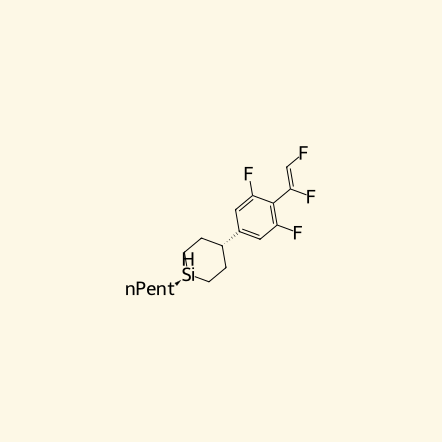 CCCCC[Si@H]1CC[C@H](c2cc(F)c(C(F)=CF)c(F)c2)CC1